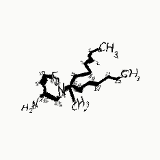 CCCCCCC(C)(CCCCCC)N1C=C(N)C=CS1